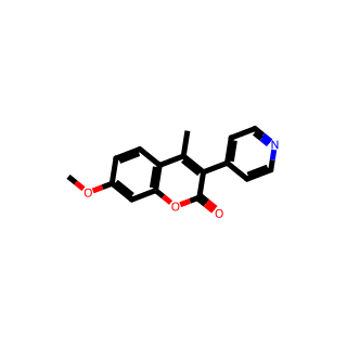 COc1ccc2c(C)c(-c3ccncc3)c(=O)oc2c1